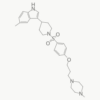 Cc1ccc2[nH]cc(C3CCN(S(=O)(=O)c4ccc(OCCCN5CCN(C)CC5)cc4)CC3)c2c1